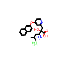 CC(C)C[C@H](N)[C@](O)(Cc1cc(Oc2ccc3ccccc3c2)ccn1)C(=O)O.Cl.Cl